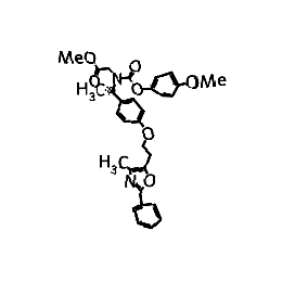 COC(=O)CN(C(=O)Oc1ccc(OC)cc1)[C@@H](C)c1ccc(OCCc2oc(-c3ccccc3)nc2C)cc1